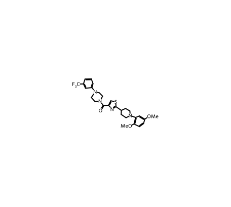 COc1ccc(OC)c(N2CCC(c3nc(C(=O)N4CCN(c5cccc(C(F)(F)F)c5)CC4)cs3)CC2)c1